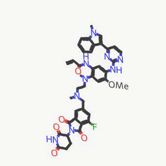 C=CC(=O)Nc1cc(Nc2nccc(-c3cn(C)c4ccccc34)n2)c(OC)cc1N(C)CCN(C)Cc1cc(F)c2c(c1)C(=O)N(C1CCC(=O)NC1=O)C2=O